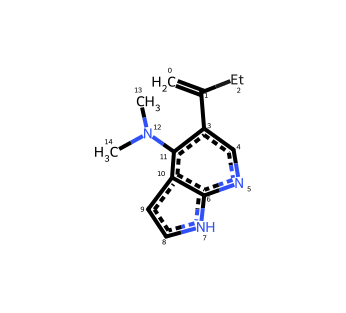 C=C(CC)c1cnc2[nH]ccc2c1N(C)C